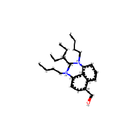 CCCCN(CCCC)c1cccc2c(C=O)ccc(N(CCCC)CCCC)c12